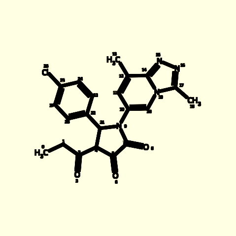 CCC(=O)C1C(=O)C(=O)N(c2cc(C)c3nnc(C)n3c2)C1c1ccc(Cl)cc1